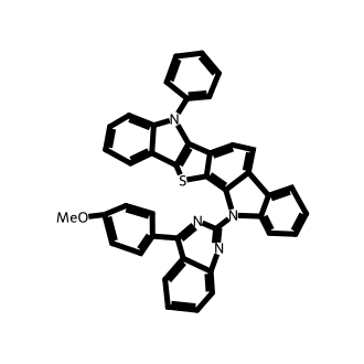 COc1ccc(-c2nc(-n3c4ccccc4c4ccc5c(sc6c7ccccc7n(-c7ccccc7)c56)c43)nc3ccccc23)cc1